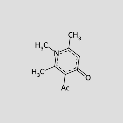 CC(=O)c1c(C)n(C)c(C)cc1=O